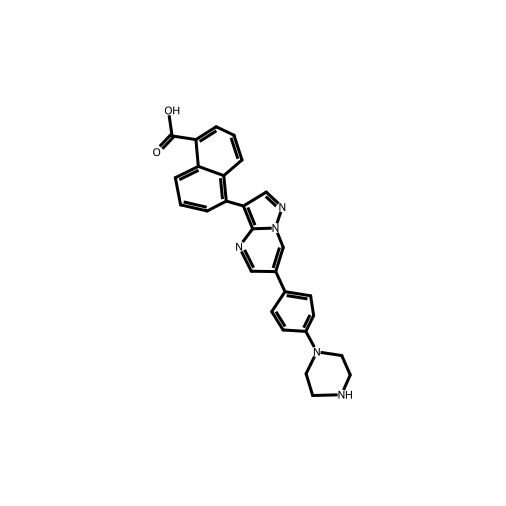 O=C(O)c1cccc2c(-c3cnn4cc(-c5ccc(N6CCNCC6)cc5)cnc34)cccc12